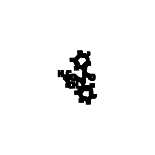 CCC.O=C(C(=O)c1ccccc1)c1ccccc1